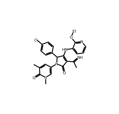 CCOc1ncccc1NC1=C(C(C)=N)C(=O)N(c2cc(C)c(=O)n(C)c2)C1c1ccc(Cl)cc1